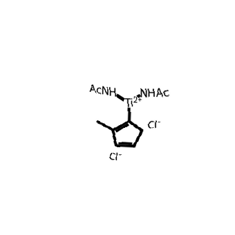 CC(=O)[NH][Ti+2]([NH]C(C)=O)[C]1=C(C)C=CC1.[Cl-].[Cl-]